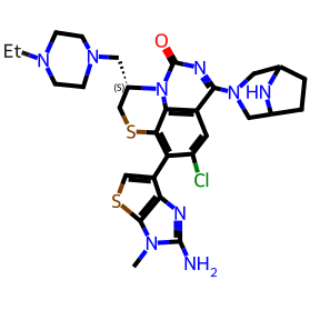 CCN1CCN(C[C@H]2CSc3c(-c4csc5c4nc(N)n5C)c(Cl)cc4c(N5CC6CCC(C5)N6)nc(=O)n2c34)CC1